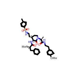 CN[C@H](Cc1ccccc1)C(=O)N[C@@H]1C(=O)N([C@@H](C)C(=O)NCCc2ccc(OC)cc2)CC[C@@H]1CCNS(=O)(=O)c1ccc(C)cc1